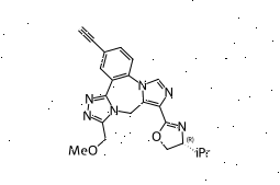 C#Cc1ccc2c(c1)-c1nnc(COC)n1Cc1c(C3=N[C@H](C(C)C)CO3)ncn1-2